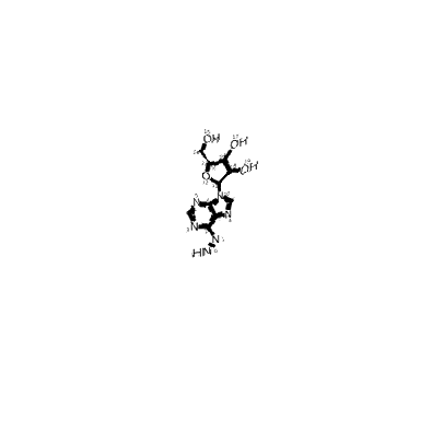 N=Nc1ncnc2c1ncn2C1O[C@@H](CO)C(O)C1O